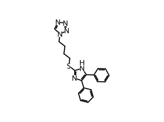 c1ccc(-c2nc(SCCCCn3cnnn3)[nH]c2-c2ccccc2)cc1